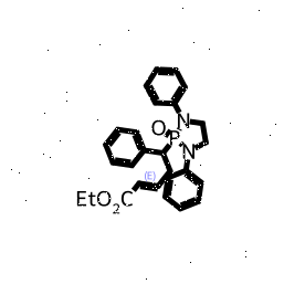 CCOC(=O)/C=C/CC(c1ccccc1)P1(=O)N(c2ccccc2)CCN1c1ccccc1